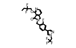 CCC(F)(F)COc1nccc2c1C(=O)N(Cc1ccc(-c3cnn(CC(F)(F)F)c3)cc1F)C2